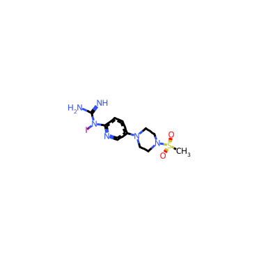 CS(=O)(=O)N1CCN(c2ccc(N(I)C(=N)N)nc2)CC1